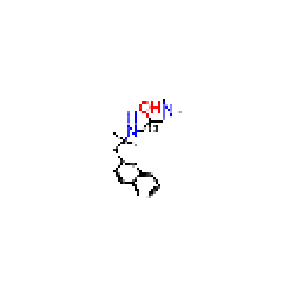 CN(C)C[C@H](O)CNC(C)(C)Cc1ccc2ccccc2c1